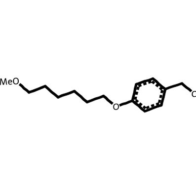 COCCCCCCOc1ccc(CCl)cc1